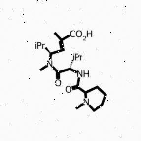 C/C(=C\[C@H](C(C)C)N(C)C(=O)[C@@H](NC(=O)C1CCCCN1C)C(C)C)C(=O)O